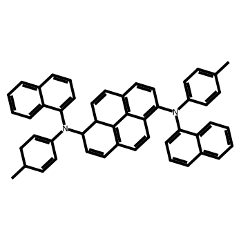 Cc1ccc(N(c2cccc3ccccc23)c2ccc3c4c5c(ccc24)C=CC(N(C2=CCC(C)C=C2)c2cccc4ccccc24)C5C=C3)cc1